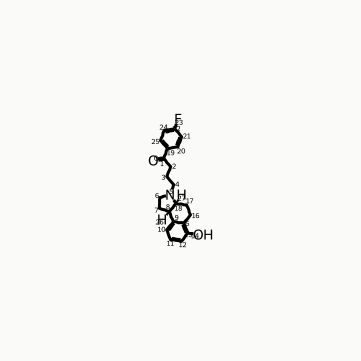 O=C(CCCN1CC[C@H]2c3cccc(O)c3CC[C@H]21)c1ccc(F)cc1